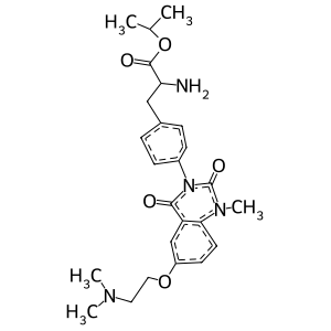 CC(C)OC(=O)C(N)Cc1ccc(-n2c(=O)c3cc(OCCN(C)C)ccc3n(C)c2=O)cc1